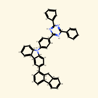 c1ccc(-c2nc(-c3ccccc3)nc(-c3ccc(-n4c5ccccc5c5cc(-c6cccc7c6Cc6ccccc6-7)ccc54)cc3)n2)cc1